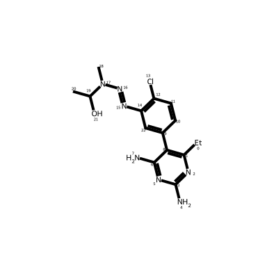 CCc1nc(N)nc(N)c1-c1ccc(Cl)c(/N=N/N(C)C(C)O)c1